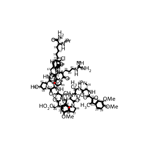 COc1ccc(C[C@H](NC(=O)[C@H](C)NC(=O)[C@H](CC(C)C)NC(=O)c2oc3c(OC)c(OC)ccc3c2C)C(=O)N2CCCC2C(=O)N[C@@H](CC(=O)O)C(=O)N[C@@H](C)C(=O)NC(C(=O)N2C[C@H](O)C[C@H]2C(=O)N[C@@H](Cc2ccc(Cl)cc2)C(=O)N[C@@H](CCCNC(=N)N)C(=O)N2CCC[C@H]2C(=O)NCC(=O)NCCCCC(NC(C)C)C(N)=O)C(C)C)cc1